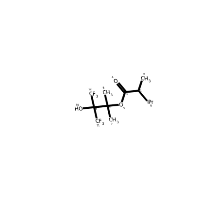 CC(C)C(C)C(=O)OC(C)(C)C(O)(C(F)(F)F)C(F)(F)F